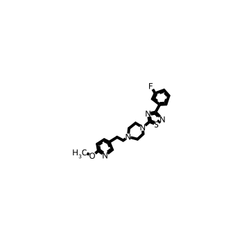 COc1ccc(CCN2CCN(c3nc(-c4cccc(F)c4)ns3)CC2)cn1